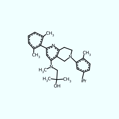 Cc1ccc(C(C)C)cc1N1CCc2nc(-c3c(C)cccc3C)cc(N(C)CC(C)(C)O)c2C1